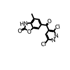 Cc1cc(C(=O)c2cc(Cl)nnc2Cl)cc2oc(=O)[nH]c12